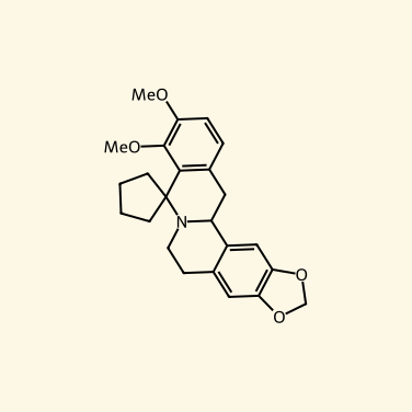 COc1ccc2c(c1OC)C1(CCCC1)N1CCc3cc4c(cc3C1C2)OCO4